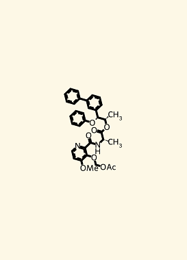 COc1ccnc(C(=O)N[C@@H](C)C(=O)O[C@@H](C)[C@H](Oc2ccccc2)c2cccc(-c3ccccc3)c2)c1OCOC(C)=O